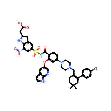 CC1(C)CCC(CN2CCN(c3ccc(C(=O)NS(=O)(=O)c4cc5c(c([N+](=O)[O-])c4)NC(CC(=O)O)C5)c(Oc4cnc5[nH]ccc5c4)c3)CC2)=C(c2ccc(Cl)cc2)C1